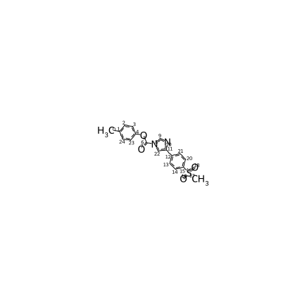 Cc1ccc(OC(=O)n2cnc(-c3ccc(S(C)(=O)=O)cc3)c2)cc1